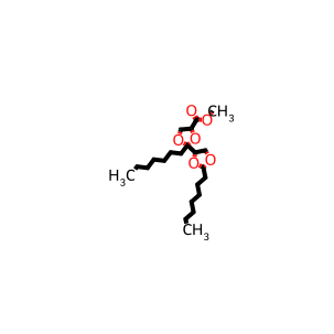 CCCCCCCC1OCC(C2(CCCCCCC)OCC(C(=O)OC)O2)O1